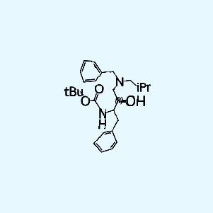 CC(C)CN(Cc1ccccc1)C[C@@H](O)C(Cc1ccccc1)NC(=O)OC(C)(C)C